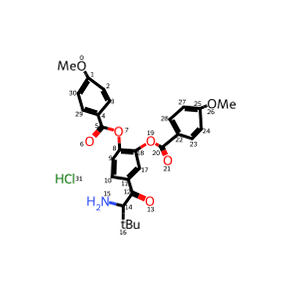 COc1ccc(C(=O)Oc2ccc(C(=O)C(N)C(C)(C)C)cc2OC(=O)c2ccc(OC)cc2)cc1.Cl